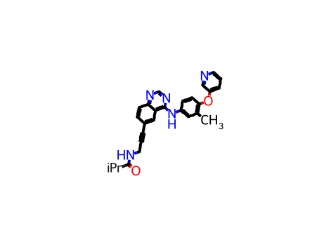 Cc1cc(Nc2ncnc3ccc(C#CCNC(=O)C(C)C)cc23)ccc1Oc1cccnc1